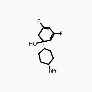 CCC[C@H]1CC[C@H](C2(O)C=C(F)C=C(F)C2)CC1